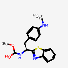 CC(C)(C)OC(O)N[C@@H](Cc1ccc(NS(=O)(=O)O)cc1)c1nc2ccccc2s1